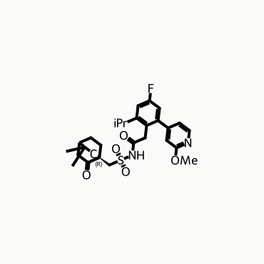 COc1cc(-c2cc(F)cc(C(C)C)c2CC(=O)NS(=O)(=O)C[C@@]23CCC(CC2=O)C(C)(C)C3)ccn1